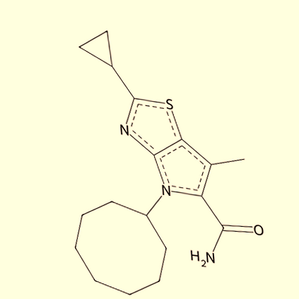 Cc1c(C(N)=O)n(C2CCCCCCC2)c2nc(C3CC3)sc12